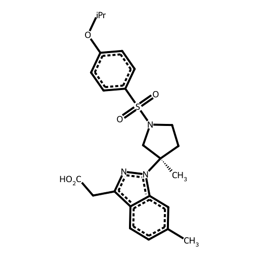 Cc1ccc2c(CC(=O)O)nn([C@]3(C)CCN(S(=O)(=O)c4ccc(OC(C)C)cc4)C3)c2c1